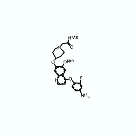 CNC(=O)CN1CCC(Oc2cc3nccc(Oc4ccc(N)cc4F)c3cc2OC)CC1